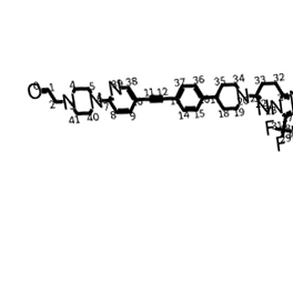 O=CCN1CCN(c2ccc(C#Cc3ccc(C4CCN(C5=Nn6c(nnc6C(F)(F)F)CC5)CC4)cc3)cn2)CC1